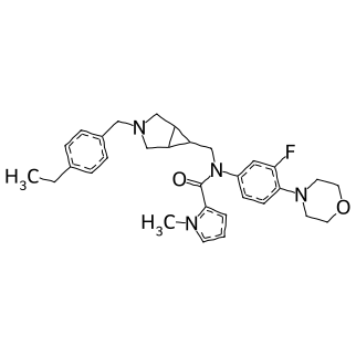 CCc1ccc(CN2CC3C(C2)C3CN(C(=O)c2cccn2C)c2ccc(N3CCOCC3)c(F)c2)cc1